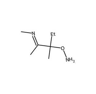 CCC(C)(ON)C(C)=NC